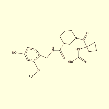 CC(C)(C)C(=O)NC1(C(=O)N2CCC[C@@H](C(=O)NCc3ccc(C#N)cc3OC(F)(F)F)C2)CCC1